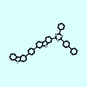 c1ccc(-c2ccc(-c3nc(-c4ccccc4)nc(-c4ccc5c(c4)oc4cc(-c6ccc(-c7ccc8sc9ccccc9c8c7)cc6)ccc45)n3)cc2)cc1